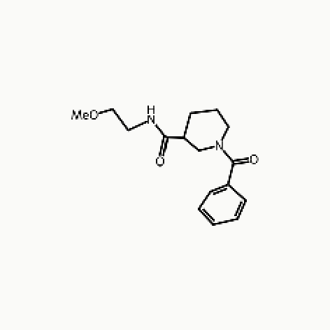 COCCNC(=O)C1CCCN(C(=O)c2ccccc2)C1